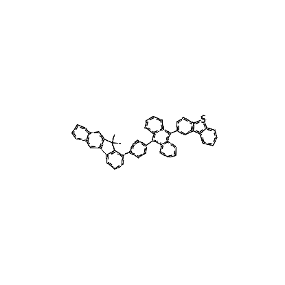 CC1(C)c2cc3ccccc3cc2-c2cccc(-c3ccc(-c4c5ccccc5c(-c5ccc6sc7ccccc7c6c5)c5ccccc45)cc3)c21